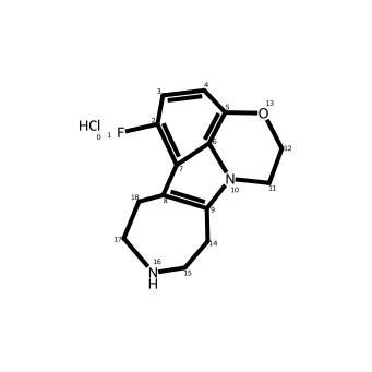 Cl.Fc1ccc2c3c1c1c(n3CCO2)CCNCC1